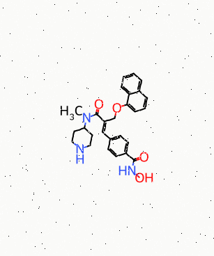 CN(C(=O)/C(=C/c1ccc(C(=O)NO)cc1)COc1cccc2ccccc12)C1CCNCC1